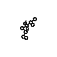 c1ccc(-c2ccc(-c3cc4c(c5ccsc35)-c3ccccc3-c3cc(-c5cccc6ccccc56)ccc3O4)c3ccccc23)cc1